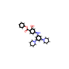 O=C(Oc1ccccc1)c1ccc(Nc2cc(N3CCCCC3)cc(N3CCCCC3)c2)cc1O